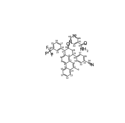 Cc1cc2c3c(ccc2c2ccccc12)C(c1cccc(C(F)(F)F)c1)C(=O)CC3c1ccc(C#N)cc1.NC(=O)c1cncnc1